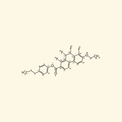 CCCc1ccc(OC(=O)c2ccc3c(c2F)C(F)C(F)c2c-3ccc(OCC)c2F)cc1